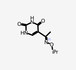 C/C(=N\OC(C)C)c1c[nH]c(=O)[nH]c1=O